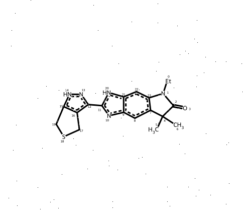 CCN1C(=O)C(C)(C)c2cc3nc(-c4n[nH]c5c4CSC5)[nH]c3cc21